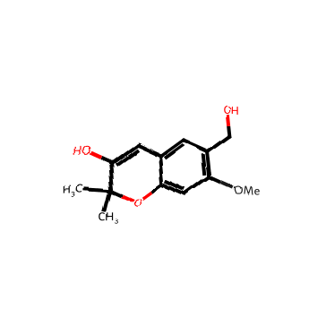 COc1cc2c(cc1CO)C=C(O)C(C)(C)O2